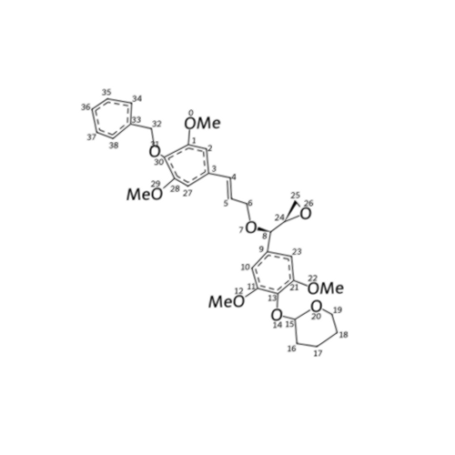 COc1cc(/C=C/CO[C@H](c2cc(OC)c(OC3CCCCO3)c(OC)c2)[C@H]2CO2)cc(OC)c1OCc1ccccc1